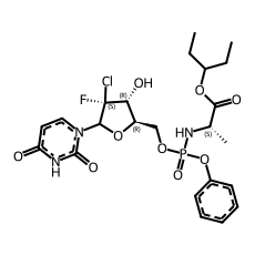 CCC(CC)OC(=O)[C@H](C)NP(=O)(OC[C@H]1OC(n2ccc(=O)[nH]c2=O)[C@@](F)(Cl)[C@@H]1O)Oc1ccccc1